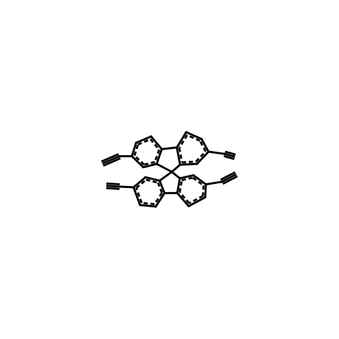 C#Cc1ccc2c(c1)C1(c3cc(C#C)ccc3-2)c2cc(C#C)ccc2-c2ccc(C#C)cc21